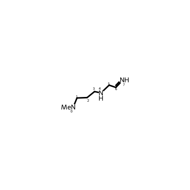 CNCCCNCC=N